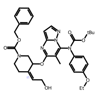 CCOc1ccc(N(C(=O)OC(C)(C)C)c2c(C)c(OC3CN(C(=O)OCc4ccccc4)CC/C3=C/CO)nc3ccnn23)cc1